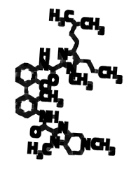 CCCc1c(CCC(C)C)nc(C(=O)Nc2cccc(-c3cccc(NC(=O)c4nc5c(n4C)CCN(C)C5)c3C)c2Cl)n1C